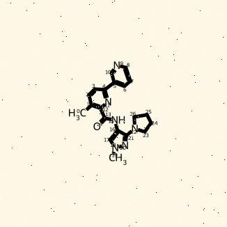 Cc1ccc(-c2cccnc2)nc1C(=O)Nc1cn(C)nc1N1CCCC1